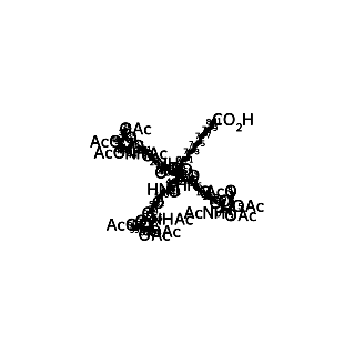 CC(=O)NC1C(OC(C)=O)[C@@H](OC(C)=O)C(COC(C)=O)O[C@H]1OCCOCCNC(=O)CCC(CCC(=O)NCCOCCO[C@@H]1OC(COC(C)=O)[C@H](OC(C)=O)C(OC(C)=O)C1NC(C)=O)(CCC(=O)NCCOCCO[C@@H]1OC(COC(C)=O)[C@H](OC(C)=O)C(OC(C)=O)C1NC(C)=O)NC(=O)CCCCCCCCCCCC(=O)O